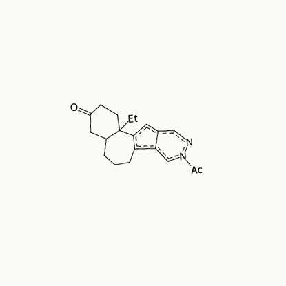 CCC12CCC(=O)CC1CCCc1c3cn(C(C)=O)ncc-3cc12